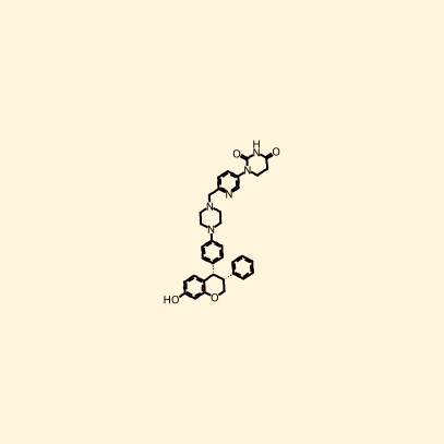 O=C1CCN(c2ccc(CN3CCN(c4ccc([C@H]5c6ccc(O)cc6OC[C@H]5c5ccccc5)cc4)CC3)nc2)C(=O)N1